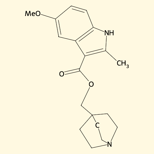 COc1ccc2[nH]c(C)c(C(=O)OCC34CCN(CC3)CC4)c2c1